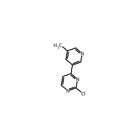 Cc1cncc(-c2ccnc(Cl)n2)c1